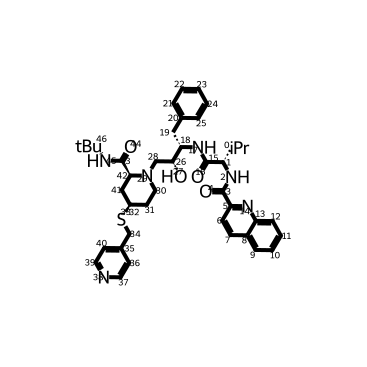 CC(C)[C@H](NC(=O)c1ccc2ccccc2n1)C(=O)N[C@@H](Cc1ccccc1)[C@H](O)CN1CC[C@@H](SCc2ccncc2)C[C@H]1C(=O)NC(C)(C)C